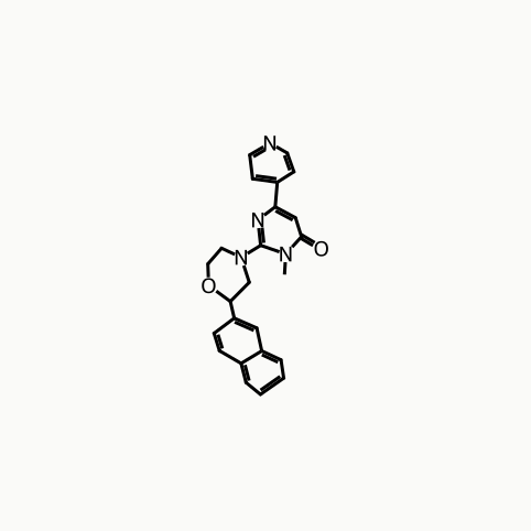 Cn1c(N2CCOC(c3ccc4ccccc4c3)C2)nc(-c2ccncc2)cc1=O